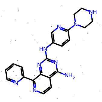 Nc1nc(Nc2ccc(N3CCNCC3)nc2)nc2c(-c3ccccn3)nccc12